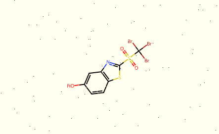 O=S(=O)(c1nc2cc(O)ccc2s1)C(Br)(Br)Br